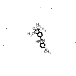 COc1ccc2[nH]c(-c3ccc4c(c3)N(C)C(=O)C4(C)C)nc2c1